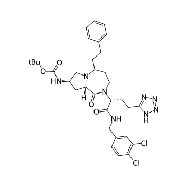 CC(C)(C)OC(=O)N[C@@H]1C[C@H]2C(=O)N([C@H](CCc3nnn[nH]3)C(=O)NCc3ccc(Cl)c(Cl)c3)CCC(CCc3ccccc3)N2C1